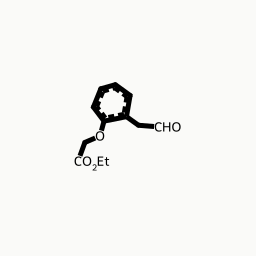 CCOC(=O)COc1ccccc1CC=O